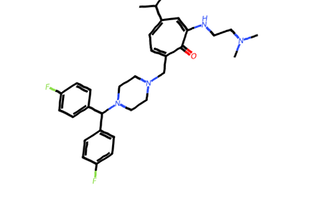 CC(C)c1ccc(CN2CCN(C(c3ccc(F)cc3)c3ccc(F)cc3)CC2)c(=O)c(NCCN(C)C)c1